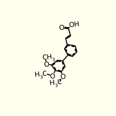 COc1cc(-c2cccc(/C=C/C(=O)O)c2)cc(OC)c1OC